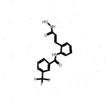 O=C(C=Cc1ccccc1NC(=O)c1cccc(C(F)(F)F)c1)NO